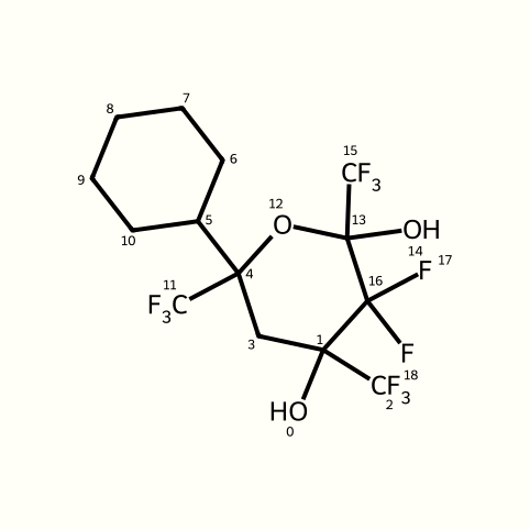 OC1(C(F)(F)F)CC(C2CCCCC2)(C(F)(F)F)OC(O)(C(F)(F)F)C1(F)F